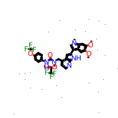 COc1cc2c(-c3cc4c(CN(OC(=O)C(F)(F)F)C(=O)Nc5ccc(OC(F)(F)F)cc5)ccnc4[nH]3)cn(C)c2cc1OC